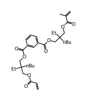 C=CC(=O)OCC(CC)(CCCC)COC(=O)c1cccc(C(=O)OCC(CC)(CCCC)COC(=O)C(=C)C)c1